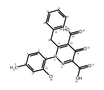 Cc1ccc(-n2nc(C(=O)O)c(=O)c(C(=O)O)c2Cc2ccccc2)c(Cl)c1